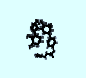 CN(CCC#N)Cc1ccc(-c2cnc(N)c(-c3nnnn3-c3cccc(F)c3F)c2)cc1